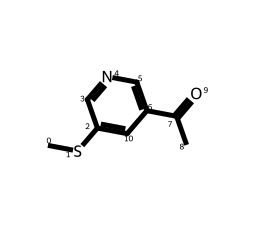 CSc1cncc(C(C)=O)c1